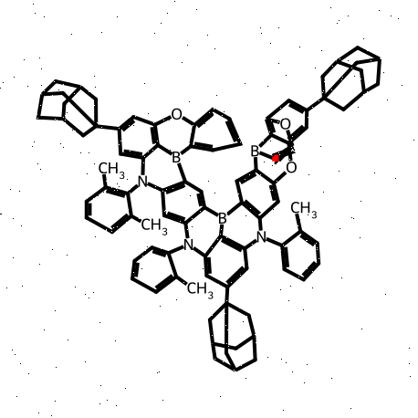 Cc1ccccc1N1c2cc3c(cc2B2c4cc5c(cc4N(c4ccccc4C)c4cc(C67CC8CC(CC(C8)C6)C7)cc1c42)N(c1c(C)cccc1C)c1cc(C24CC6CC(CC(C6)C2)C4)cc2c1B5c1ccccc1O2)B1c2ccccc2Oc2cc(C45CC6CC(CC(C6)C4)C5)cc(c21)O3